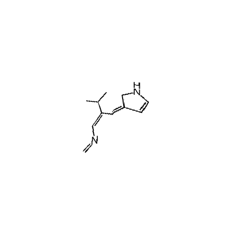 C=N/C=C(\C=C1\C=CNC1)C(C)C